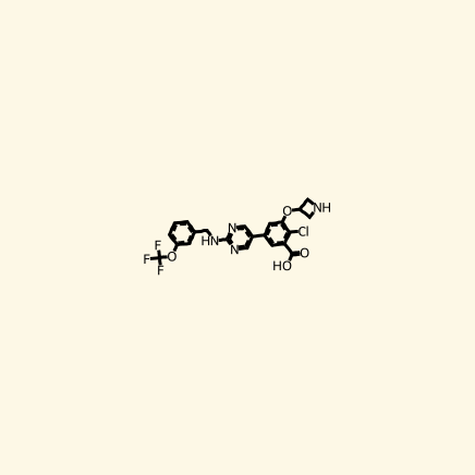 O=C(O)c1cc(-c2cnc(NCc3cccc(OC(F)(F)F)c3)nc2)cc(OC2CNC2)c1Cl